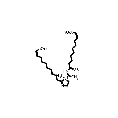 CCCCCCCC/C=C\CCCCCCCCC1=NCC[N+]1(C)C(C)NC(=O)CCCCCCC/C=C\CCCCCCCC.[Cl-]